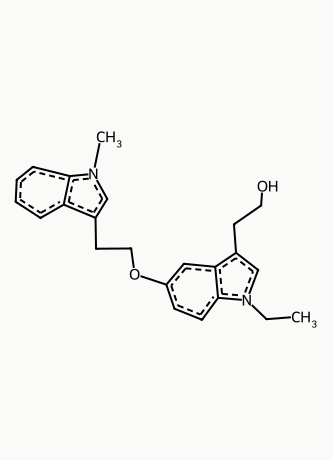 CCn1cc(CCO)c2cc(OCCc3cn(C)c4ccccc34)ccc21